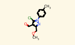 COCc1nn(-c2ccc(C)cc2)c(Cl)c1C=O